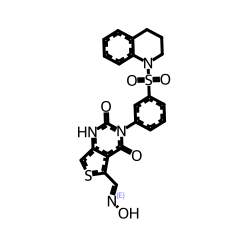 O=c1[nH]c2csc(/C=N/O)c2c(=O)n1-c1cccc(S(=O)(=O)N2CCCc3ccccc32)c1